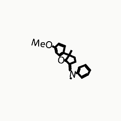 COc1ccc(C2(C)CCC(=CN(C)c3ccccc3)C2=O)cc1